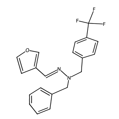 FC(F)(F)c1ccc(CN(Cc2ccccc2)/N=C/c2ccoc2)cc1